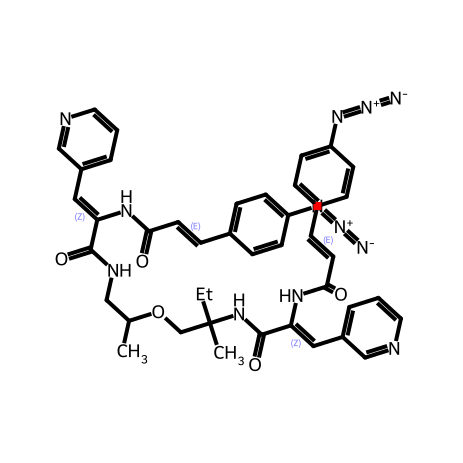 CCC(C)(COC(C)CNC(=O)/C(=C/c1cccnc1)NC(=O)/C=C/c1ccc(N=[N+]=[N-])cc1)NC(=O)/C(=C/c1cccnc1)NC(=O)/C=C/c1ccc(N=[N+]=[N-])cc1